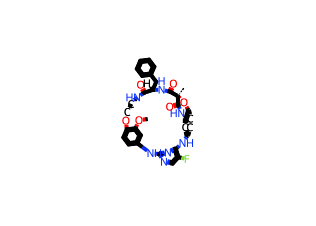 COc1cc2ccc1OCCNC(=O)[C@H](Cc1ccccc1)NC(=O)[C@@]1(C)Oc3ccc(cc3NC1=O)Nc1nc(ncc1F)N2